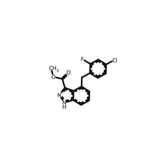 COC(=O)c1n[nH]c2cccc(Cc3ccc(Cl)cc3F)c12